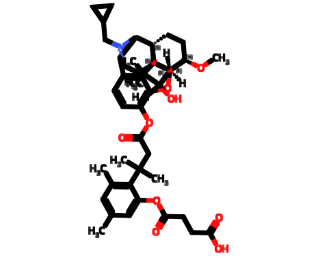 CO[C@]12CC[C@@]3(C[C@@H]1C(C)(O)C(C)(C)C)C1Cc4ccc(OC(=O)CC(C)(C)c5c(C)cc(C)cc5OC(=O)CCC(=O)O)c5c4[C@@]3(CCN1CC1CC1)[C@H]2O5